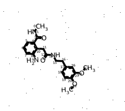 CNC(=O)c1cccc(N)c1CC(=O)NCCc1ccc(OC)c(OC)c1